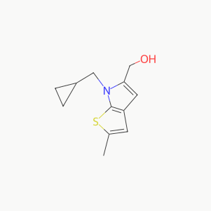 Cc1cc2cc(CO)n(CC3CC3)c2s1